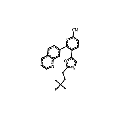 CC(C)(F)CCc1ncc(-c2ccc(C#N)nc2-c2ccc3cccnc3c2)o1